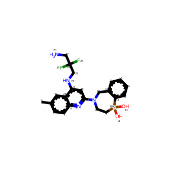 Cc1ccc2nc(N3CCS(O)(O)c4ccccc4C3)cc(NCC(F)(F)CN)c2c1